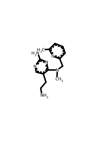 Cc1cccc(CN(C)c2nc(N)ncc2CCN)n1